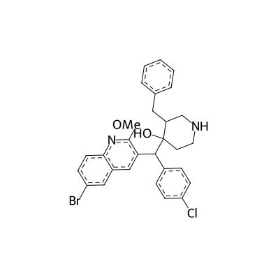 COc1nc2ccc(Br)cc2cc1C(c1ccc(Cl)cc1)C1(O)CCNCC1Cc1ccccc1